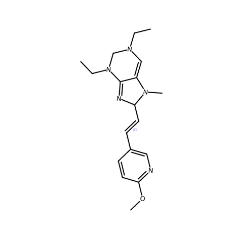 CCN1C=C2C(=NC(/C=C/c3ccc(OC)nc3)N2C)N(CC)C1